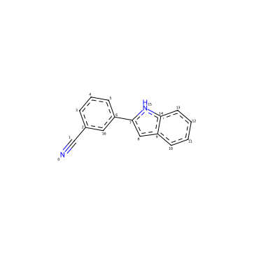 N#Cc1cccc(-c2cc3c[c]ccc3[nH]2)c1